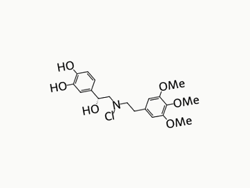 COc1cc(CCN(Cl)C[C@H](O)c2ccc(O)c(O)c2)cc(OC)c1OC